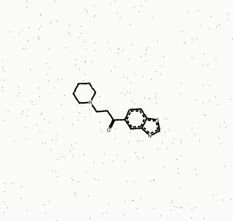 O=C(CCN1CCCCC1)c1ccc2scnc2c1